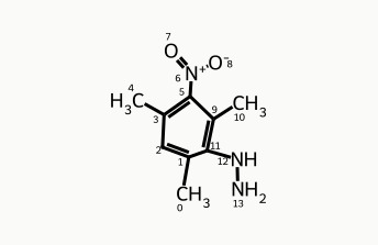 Cc1cc(C)c([N+](=O)[O-])c(C)c1NN